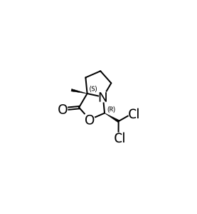 C[C@@]12CCCN1[C@@H](C(Cl)Cl)OC2=O